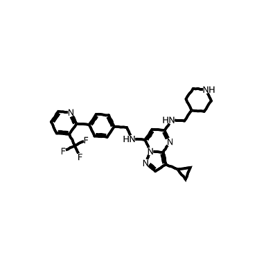 FC(F)(F)c1cccnc1-c1ccc(CNc2cc(NCC3CCNCC3)nc3c(C4CC4)cnn23)cc1